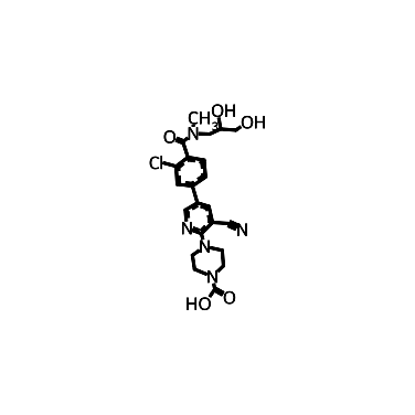 CN(CC(O)CO)C(=O)c1ccc(-c2cnc(N3CCN(C(=O)O)CC3)c(C#N)c2)cc1Cl